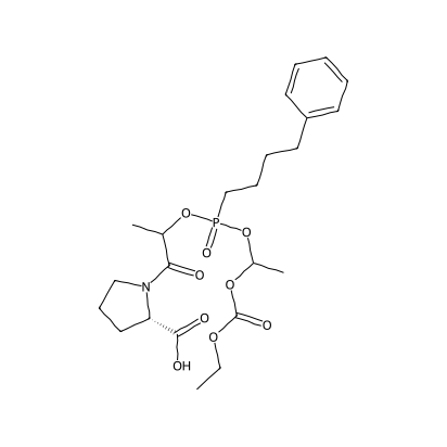 CCOC(=O)OC(C)OP(=O)(CCCCc1ccccc1)OC(C)C(=O)N1CCC[C@H]1C(=O)O